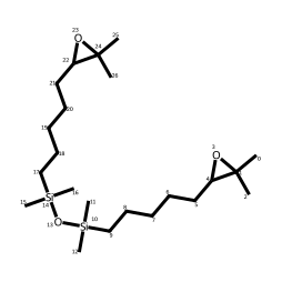 CC1(C)OC1CCCCC[Si](C)(C)O[Si](C)(C)CCCCCC1OC1(C)C